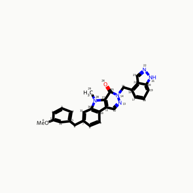 COc1cccc(Cc2ccc3c4cnn(Cc5cccc6[nH]ncc56)c(=O)c4n(C)c3c2)c1